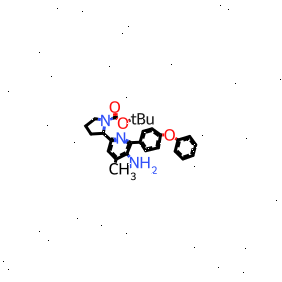 Cc1cc(C2CCCN2C(=O)OC(C)(C)C)nc(-c2ccc(Oc3ccccc3)cc2)c1N